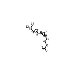 CC(C)CCC[C@@H]1C[C@H]1COCC(C)C